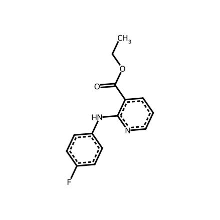 CCOC(=O)c1cccnc1Nc1ccc(F)cc1